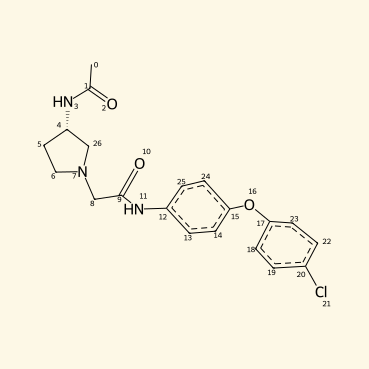 CC(=O)N[C@H]1CCN(CC(=O)Nc2ccc(Oc3ccc(Cl)cc3)cc2)C1